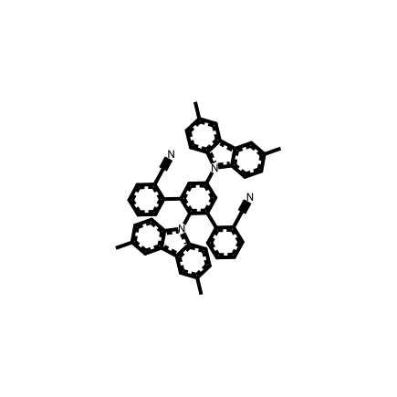 Cc1ccc2c(c1)c1cc(C)ccc1n2-c1cc(-c2ccccc2C#N)c(-n2c3ccc(C)cc3c3cc(C)ccc32)c(-c2ccccc2C#N)c1